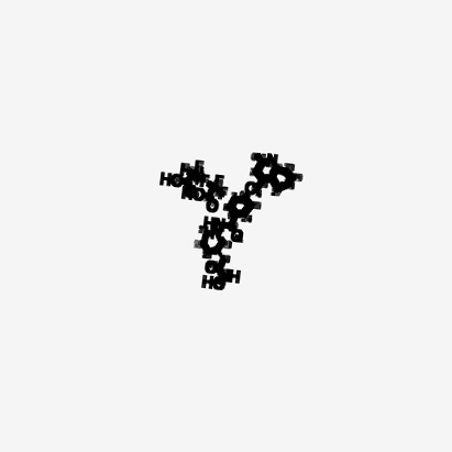 Cc1cc(COc2ccc(C(=O)NN3CCC[C@@H](CC(=O)NO)C3)cc2)c2ccccc2n1.O=C(O)C(F)(F)F.O=C(O)C(F)(F)F